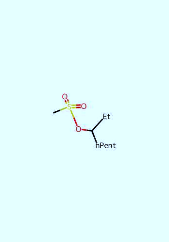 CCCCCC(CC)OS(C)(=O)=O